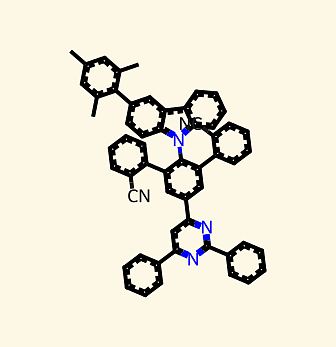 Cc1cc(C)c(-c2ccc3c(c2)c2ccccc2n3-c2c(-c3ccccc3C#N)cc(-c3cc(-c4ccccc4)nc(-c4ccccc4)n3)cc2-c2ccccc2C#N)c(C)c1